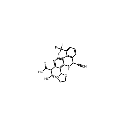 C#CC(Nc1ncnc(C(C(=O)O)C(=O)O)c1C1OCCO1)c1cccc(C(F)(F)F)c1C